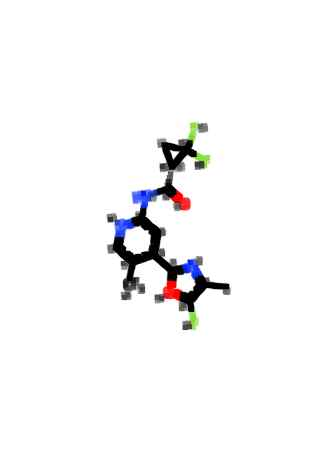 Cc1nc(-c2cc(NC(=O)[C@@H]3CC3(F)F)ncc2C(F)(F)F)oc1F